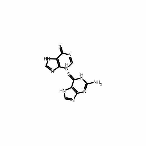 Nc1nc2nc[nH]c2c(=S)[nH]1.S=c1nc[nH]c2nc[nH]c12